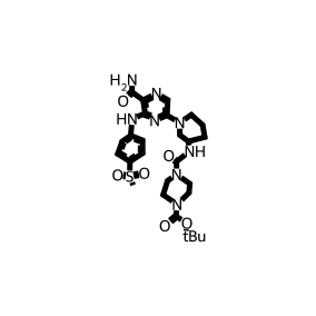 CC(C)(C)OC(=O)N1CCN(C(=O)NC2CCCN(c3cnc(C(N)=O)c(Nc4ccc(S(C)(=O)=O)cc4)n3)C2)CC1